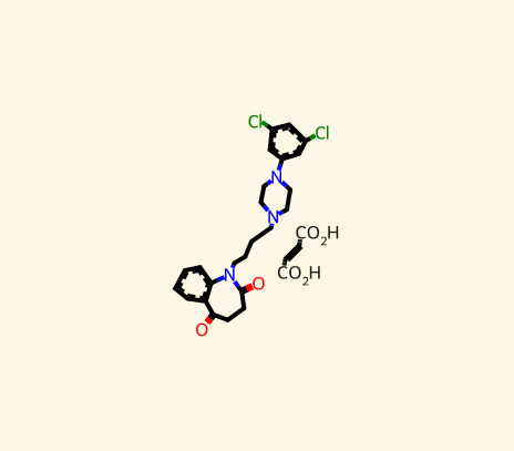 O=C(O)C=CC(=O)O.O=C1CCC(=O)N(CCCCN2CCN(c3cc(Cl)cc(Cl)c3)CC2)c2ccccc21